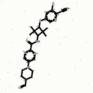 CC1(C)C(NC(=O)c2ncc(N3CCC(C=O)CC3)cn2)C(C)(C)C1Oc1cnc(C#N)c(Cl)c1